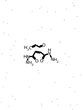 C=CC=O.NNC(=O)/C=C\C(=O)NN